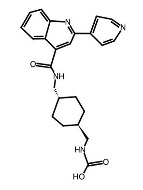 O=C(O)NC[C@H]1CC[C@H](CNC(=O)c2cc(-c3ccncc3)nc3ccccc23)CC1